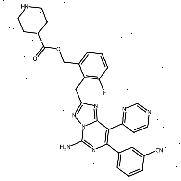 N#Cc1cccc(-c2nc(N)n3nc(Cc4c(F)cccc4COC(=O)C4CCNCC4)nc3c2-c2ccncn2)c1